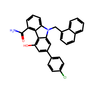 NC(=O)c1cccc2c1c1c(O)cc(-c3ccc(Cl)cc3)cc1n2Cc1cccc2ccccc12